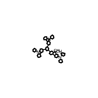 CC1(C)c2cc(-c3cc(-c4ccc5c(c4)c4ccccc4n5-c4ccccc4)cc(-c4ccc5c(c4)c4ccccc4n5-c4ccccc4)c3)ccc2-c2ccc(N(c3ccccc3)c3ccccc3)cc21